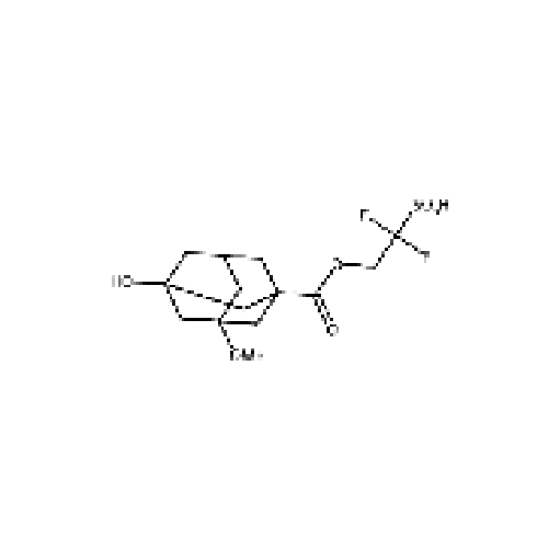 COC12CC3CC(O)(C1)CC(C(=O)OCC(F)(F)S(=O)(=O)O)(C3)C2